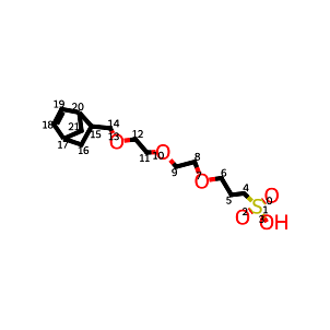 O=S(=O)(O)CCCOCCOCCOCC1CC2C=CC1C2